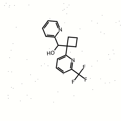 OC(c1ccccn1)C1(c2cccc(C(F)(F)F)n2)CCC1